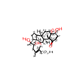 CC(CC(O)C(C)(O)[C@H]1CC[C@H]2[C@@H]3CC4OC45C(O)C=CC(=O)[C@]5(C)[C@H]3CC[C@]12C)=C(C)C(=O)O